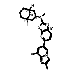 Cc1cn2cc(-c3ccc4nc(N(C)[C@@H]5C[C@H]6CCC[C@@H](C5)N6)sc4n3)cc(F)c2n1.Cl